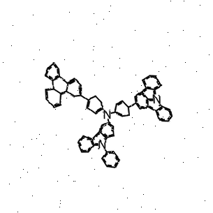 C1=CC2c3ccccc3C3=CC=C(C4=CC=C(N(C5=CCC(c6cc7c8ccccc8n8c9ccccc9c(c6)c78)C=C5)c5ccc6c(c5)c5ccccc5n6-c5ccccc5)CC4)CC3C2C=C1